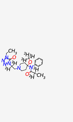 [2H]C([2H])([2H])OC1(N(C(=O)C([2H])([2H])C)c2ccccc2)CCN(CC([2H])([2H])n2nnn(CC)c2=O)CC1